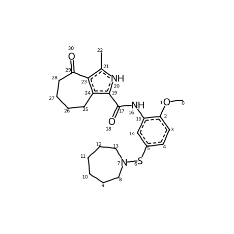 COc1ccc(SN2CCCCCC2)cc1NC(=O)c1[nH]c(C)c2c1CCCCC2=O